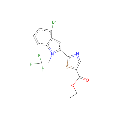 CCOC(=O)c1cnc(-c2cc3c(Br)cccc3n2CC(F)(F)F)s1